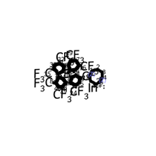 C1=C\CC/C=C\CC/1.FC(F)(F)c1cc([B-](c2cc(C(F)(F)F)cc(C(F)(F)F)c2)(c2cc(C(F)(F)F)cc(C(F)(F)F)c2)c2cc(C(F)(F)F)cc(C(F)(F)F)c2)cc(C(F)(F)F)c1.[In+]